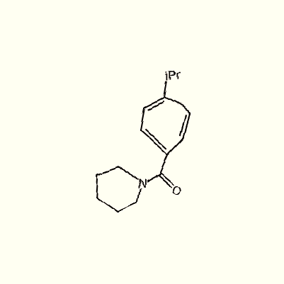 CC(C)c1ccc(C(=O)N2CCCCC2)cc1